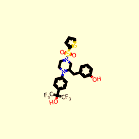 O=S(=O)(c1cccs1)N1CCN(c2ccc(C(O)(C(F)(F)F)C(F)(F)F)cc2)C(Cc2cccc(O)c2)C1